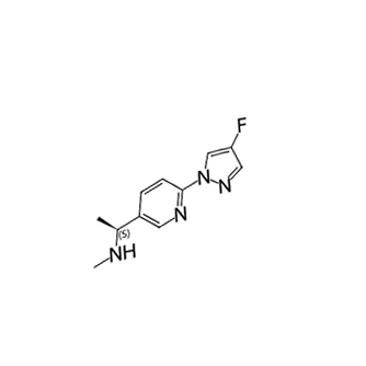 CN[C@@H](C)c1ccc(-n2cc(F)cn2)nc1